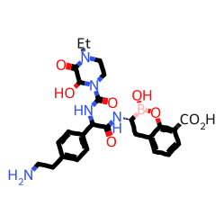 CCN1CCN(C(=O)NC(C(=O)N[C@H]2Cc3cccc(C(=O)O)c3OB2O)c2ccc(CCN)cc2)C(O)C1=O